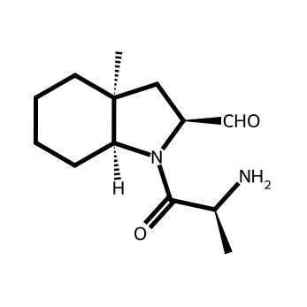 C[C@H](N)C(=O)N1[C@H](C=O)C[C@]2(C)CCCC[C@H]12